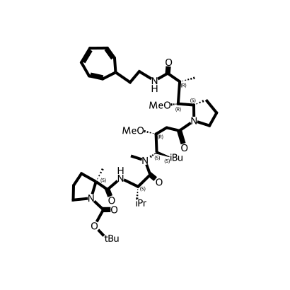 CC[C@H](C)[C@@H]([C@@H](CC(=O)N1CCC[C@H]1[C@H](OC)[C@@H](C)C(=O)NCCC1C=CC=CC=C1)OC)N(C)C(=O)[C@@H](NC(=O)[C@]1(C)CCCN1C(=O)OC(C)(C)C)C(C)C